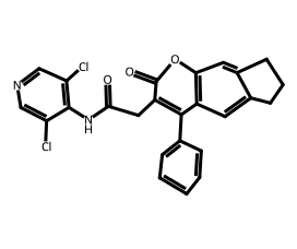 O=C(Cc1c(-c2ccccc2)c2cc3c(cc2oc1=O)CCC3)Nc1c(Cl)cncc1Cl